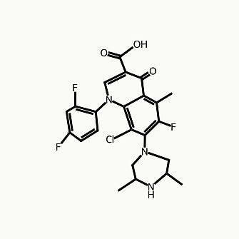 Cc1c(F)c(N2CC(C)NC(C)C2)c(Cl)c2c1c(=O)c(C(=O)O)cn2-c1ccc(F)cc1F